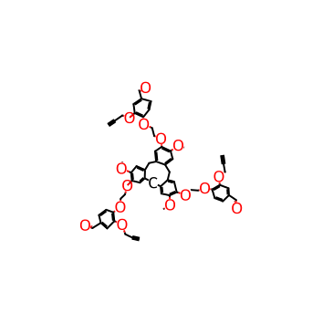 C#CCOc1cc(C=O)ccc1OCCOc1cc2c(cc1OC)Cc1cc(OCCOc3ccc(C=O)cc3OCC#C)c(OC)cc1Cc1cc(OCCOc3ccc(C=O)cc3OCC#C)c(OC)cc1C2